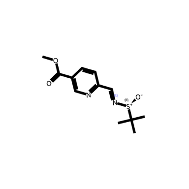 COC(=O)c1ccc(/C=N/[S@@+]([O-])C(C)(C)C)nc1